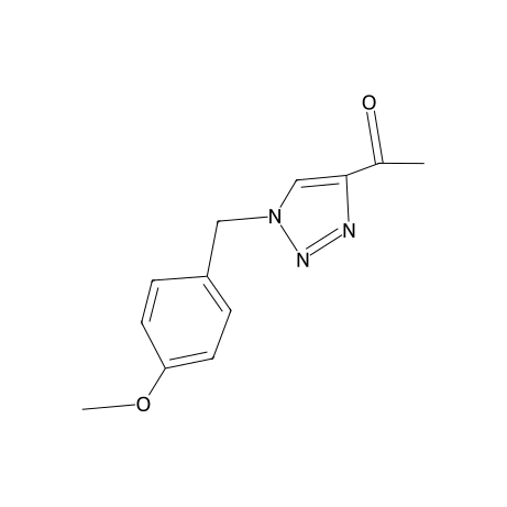 COc1ccc(Cn2cc(C(C)=O)nn2)cc1